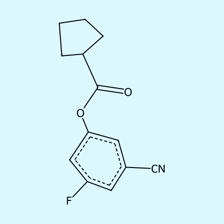 N#Cc1cc(F)cc(OC(=O)C2CCCC2)c1